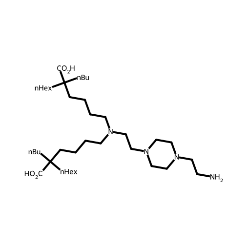 CCCCCCC(CCCC)(CCCCN(CCCCC(CCCC)(CCCCCC)C(=O)O)CCN1CCN(CCN)CC1)C(=O)O